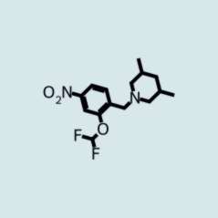 CC1CC(C)CN(Cc2ccc([N+](=O)[O-])cc2OC(F)F)C1